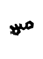 CC(CO)(NCc1ccccc1)C(=O)O